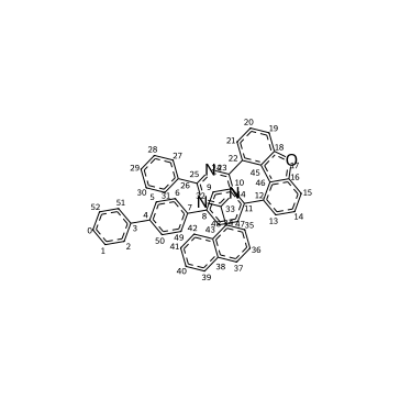 c1ccc(-c2ccc(-c3ccc(-c4cccc5oc6cccc(-c7nc(-c8ccccc8)nc(-c8cccc9ccccc89)n7)c6c45)cc3)cc2)cc1